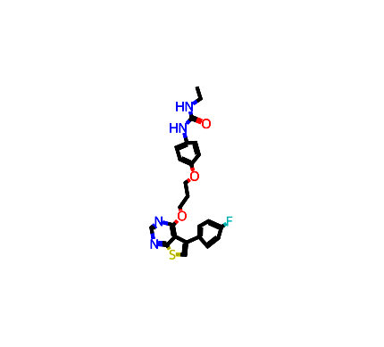 CCNC(=O)Nc1ccc(OCCCOc2ncnc3scc(-c4ccc(F)cc4)c23)cc1